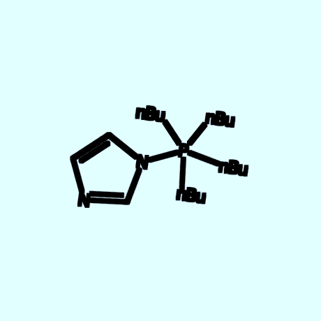 CCCCP(CCCC)(CCCC)(CCCC)n1ccnc1